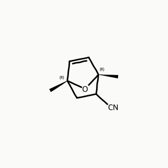 C[C@@]12C=C[C@@](C)(O1)C(C#N)C2